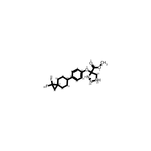 COC(=O)C1(Oc2ccc(C3CCC4(CC3)CC4(F)F)cc2)CNN=N1